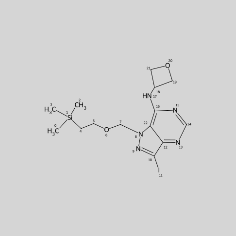 C[Si](C)(C)CCOCn1nc(I)c2ncnc(NC3COC3)c21